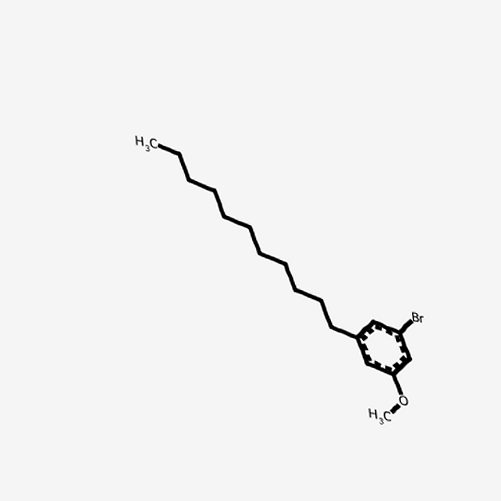 CCCCCCCCCCCc1cc(Br)cc(OC)c1